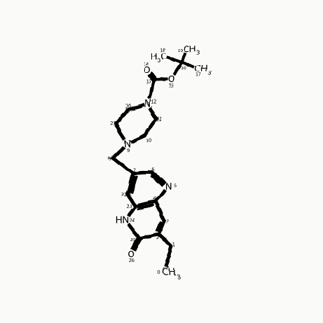 CCc1cc2ncc(CN3CCN(C(=O)OC(C)(C)C)CC3)cc2[nH]c1=O